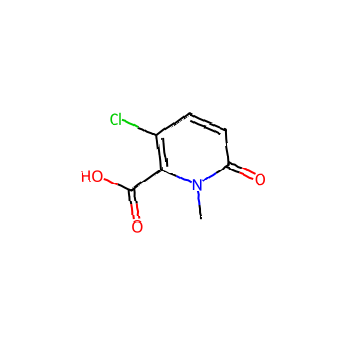 Cn1c(C(=O)O)c(Cl)ccc1=O